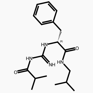 CC(C)CNC(=O)[C@@H](Cc1ccccc1)NC(=N)NC(=O)C(C)C